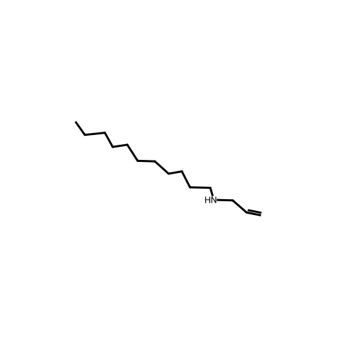 C=CCNCCCCCCCCCCC